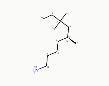 CCC(C)(C)C[C@@H](C)CCCCN